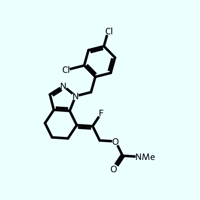 CNC(=O)OC/C(F)=C1\CCCc2cnn(Cc3ccc(Cl)cc3Cl)c21